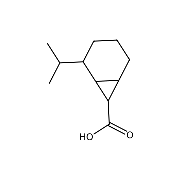 CC(C)C1CCCC2C(C(=O)O)C12